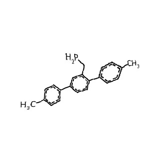 Cc1ccc(-c2ccc(-c3ccc(C)cc3)c(CP)c2)cc1